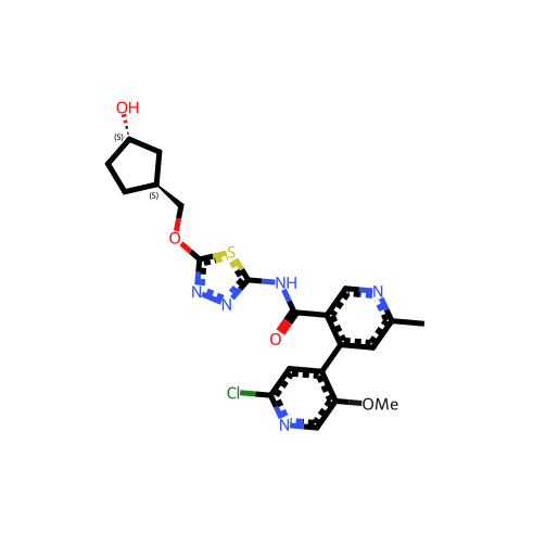 COc1cnc(Cl)cc1-c1cc(C)ncc1C(=O)Nc1nnc(OC[C@H]2CC[C@H](O)C2)s1